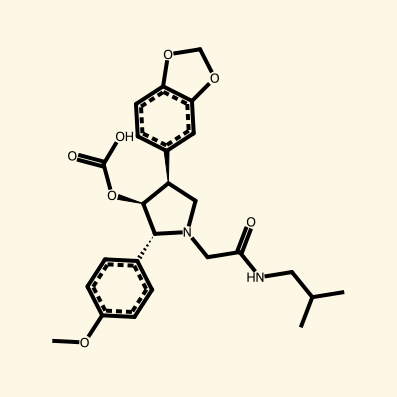 COc1ccc([C@@H]2[C@@H](OC(=O)O)[C@@H](c3ccc4c(c3)OCO4)CN2CC(=O)NCC(C)C)cc1